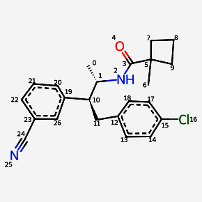 C[C@H](NC(=O)C1(C)CCC1)[C@@H](Cc1ccc(Cl)cc1)c1cccc(C#N)c1